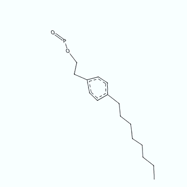 CCCCCCCCc1ccc(CCOP=O)cc1